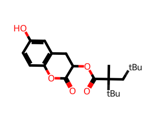 CC(C)(C)CC(C)(C(=O)OC1Cc2cc(O)ccc2OC1=O)C(C)(C)C